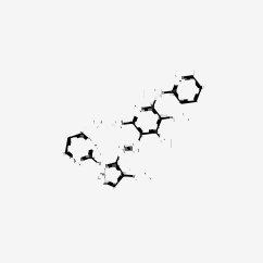 CNc1nc(Nc2ccccn2)c(C#N)c(C)c1/N=N/c1c(C#N)cnn1-c1ncccn1